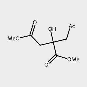 COC(=O)CC(O)(CC(C)=O)C(=O)OC